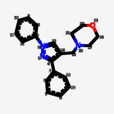 c1ccc(-c2nn(-c3ccccc3)cc2CN2CCOCC2)cc1